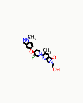 Cc1cc2c(nc1N1CCC(Oc3ccc4c(cnn4C)c3)[C@H](F)C1)CN(CCO)C2=O